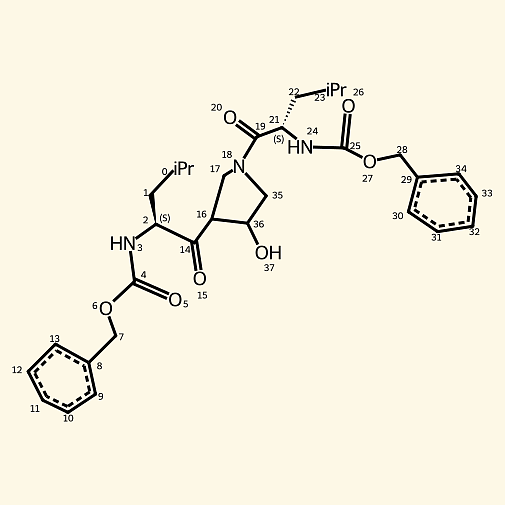 CC(C)C[C@H](NC(=O)OCc1ccccc1)C(=O)C1CN(C(=O)[C@H](CC(C)C)NC(=O)OCc2ccccc2)CC1O